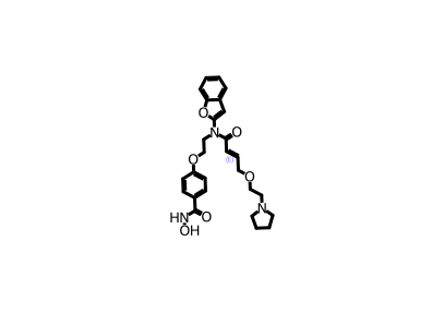 O=C(NO)c1ccc(OCCN(C(=O)/C=C/COCCN2CCCC2)c2cc3ccccc3o2)cc1